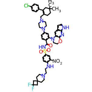 CC1(C)CCC(CN2CCN(c3ccc(C(=O)NS(=O)(=O)c4ccc(NCCN5CCC6(CC5)CC(F)(F)C6)c([N+](=O)[O-])c4)c(N4CCOc5nc6[nH]ccc6cc54)c3)CC2)=C(c2ccc(Cl)cc2)C1